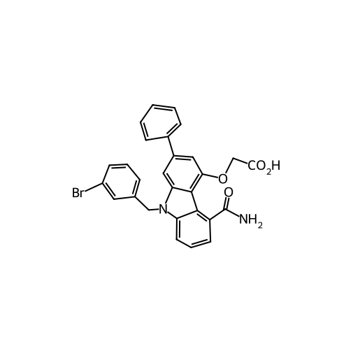 NC(=O)c1cccc2c1c1c(OCC(=O)O)cc(-c3ccccc3)cc1n2Cc1cccc(Br)c1